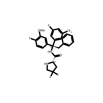 COc1cc([C@@](Cc2ccccc2)(NC(=O)[C@@H]2CC(F)(F)CN2)c2cc(F)cc(C(F)(F)F)c2)ccc1F